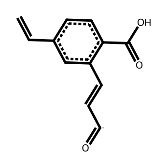 C=Cc1ccc(C(=O)O)c(C=C[C]=O)c1